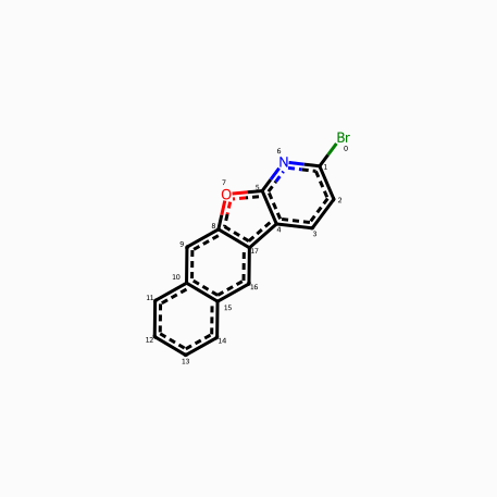 Brc1ccc2c(n1)oc1cc3ccccc3cc12